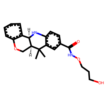 CC1(C)c2cc(C(=O)NOCCCO)ccc2N[C@@H]2c3ccccc3OC[C@@H]21